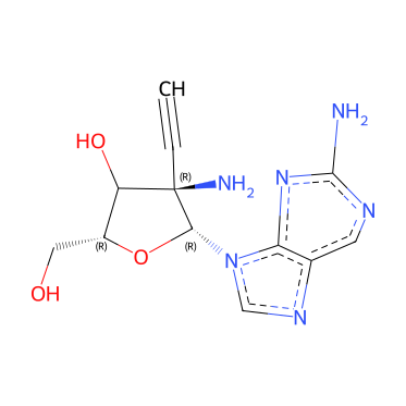 C#C[C@@]1(N)C(O)[C@@H](CO)O[C@H]1n1cnc2cnc(N)nc21